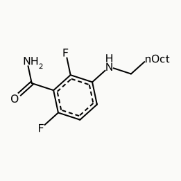 CCCCCCCCCNc1ccc(F)c(C(N)=O)c1F